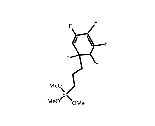 CO[Si](CCCC1(F)C=C(F)C(F)=C(F)C1F)(OC)OC